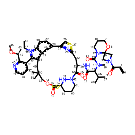 C=CC(=O)N1CC2(C1)OCCCN2C(=O)N(C)C(C(=O)N[C@H]1Cc2nc(cs2)-c2ccc3c(c2)c(c(-c2cccnc2[C@H](C)OC)n3CC)CC(C)(C)COC(=O)[C@@]2(S)CCCN(N2)C1=O)C(C)C